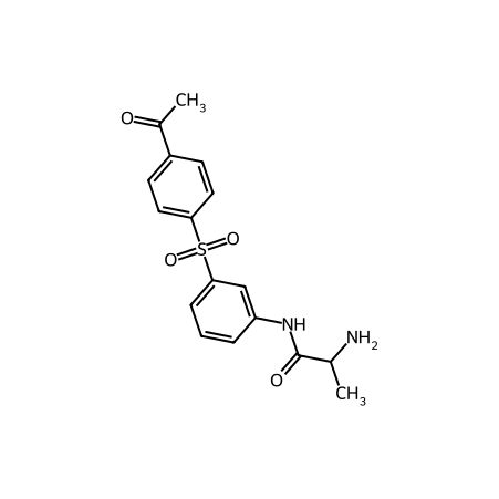 CC(=O)c1ccc(S(=O)(=O)c2cccc(NC(=O)C(C)N)c2)cc1